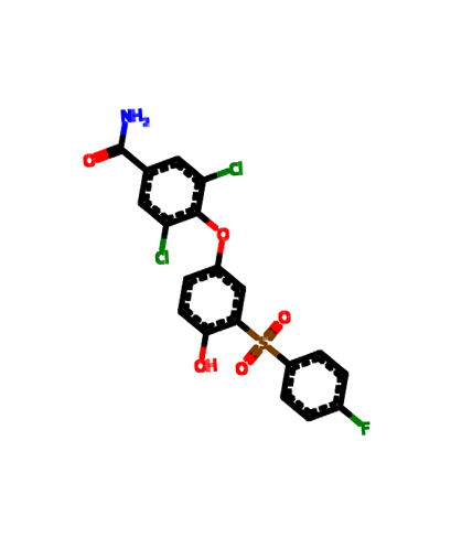 NC(=O)c1cc(Cl)c(Oc2ccc(O)c(S(=O)(=O)c3ccc(F)cc3)c2)c(Cl)c1